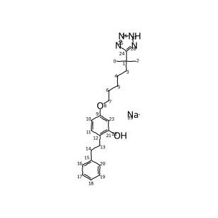 CC(C)(CCCCCOc1ccc(CCc2ccccc2)c(O)c1)c1nn[nH]n1.[Na]